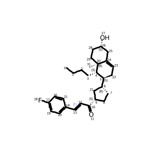 CCCC[C@H]1[C@H]([C@@H]2CC[C@H](C(=O)/C=C/c3ccc(F)cc3)C2)CC=C2C[C@@H](O)CC[C@@]21C